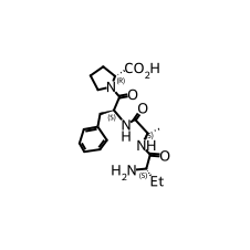 CC[C@H](N)C(=O)N[C@@H](C)C(=O)N[C@@H](Cc1ccccc1)C(=O)N1CCC[C@@H]1C(=O)O